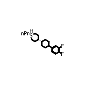 CCC[Si@H]1CC[C@H](C2CCC(c3ccc(F)c(F)c3)CC2)CC1